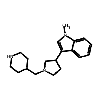 Cn1cc(C2CCN(CC3CCNCC3)C2)c2ccccc21